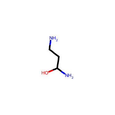 NCCC(N)O